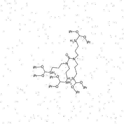 CC(C)OC(OC(C)C)[SiH2]CCCN(CCC[SiH2]C(OC(C)C)OC(C)C)C(=O)N(CCC[SiH2]C(OC(C)C)OC(C)C)CCC[SiH2]C(OC(C)C)OC(C)C